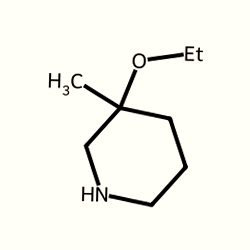 CCOC1(C)CCCNC1